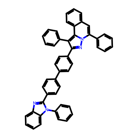 c1ccc(-c2c(-c3ccc(-c4ccc(-c5nc6ccccc6n5-c5ccccc5)cc4)cc3)nn3c(-c4ccccc4)cc4ccccc4c23)cc1